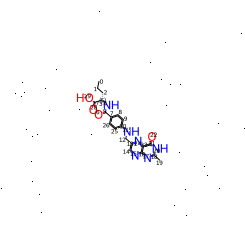 CCC[C@H](NC(=O)c1ccc(NCc2cnc3nc(C)[nH]c(=O)c3n2)cc1)C(=O)O